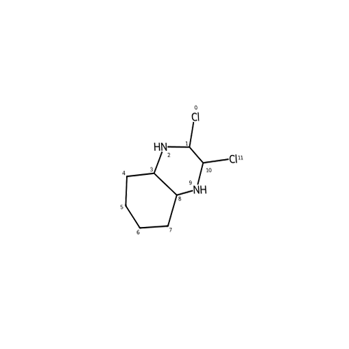 ClC1NC2CCCCC2NC1Cl